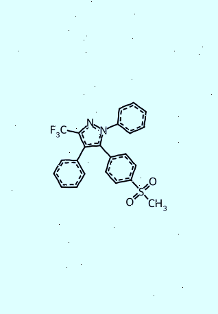 CS(=O)(=O)c1ccc(-c2c(-c3ccccc3)c(C(F)(F)F)nn2-c2ccccc2)cc1